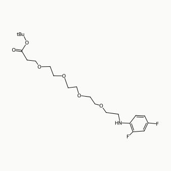 CC(C)(C)OC(=O)CCOCCOCCOCCOCCNc1ccc(F)cc1F